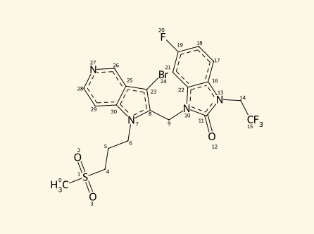 CS(=O)(=O)CCCn1c(Cn2c(=O)n(CC(F)(F)F)c3ccc(F)cc32)c(Br)c2cnccc21